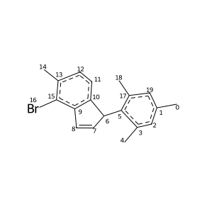 Cc1cc(C)c(C2C=Cc3c2ccc(C)c3Br)c(C)c1